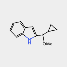 CO[C](c1cc2ccccc2[nH]1)C1CC1